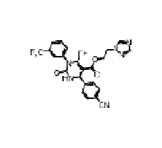 CCC1=C(C(=O)OCCn2cncn2)C(c2ccc(C#N)cc2)NC(=O)N1c1cccc(C(F)(F)F)c1